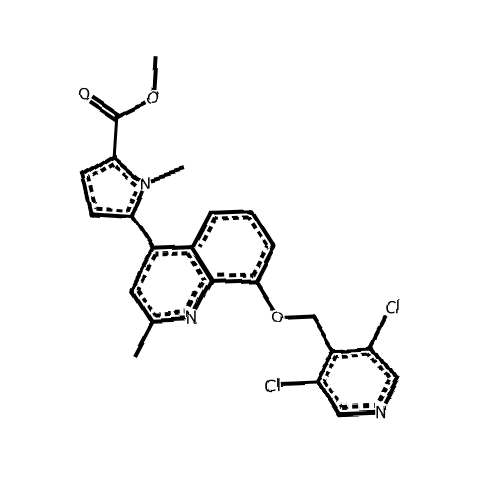 COC(=O)c1ccc(-c2cc(C)nc3c(OCc4c(Cl)cncc4Cl)cccc23)n1C